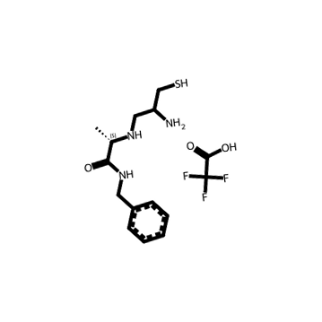 C[C@H](NCC(N)CS)C(=O)NCc1ccccc1.O=C(O)C(F)(F)F